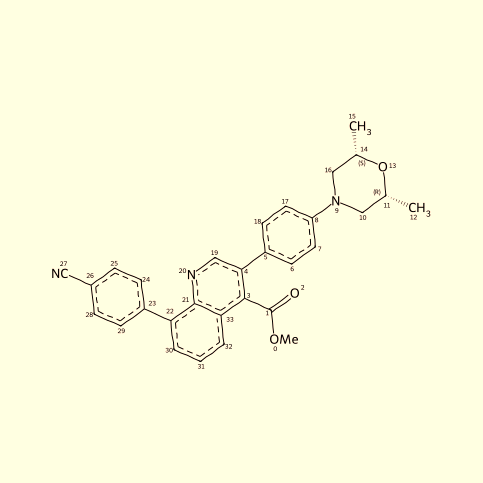 COC(=O)c1c(-c2ccc(N3C[C@@H](C)O[C@@H](C)C3)cc2)cnc2c(-c3ccc(C#N)cc3)cccc12